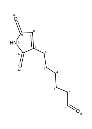 O=[C]CCCCCC1=CC(=O)NC1=O